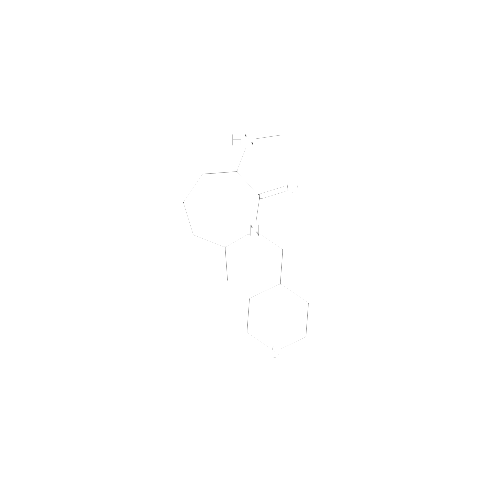 CNC1CCCC(C)N(CC2CCSCC2)C1=O